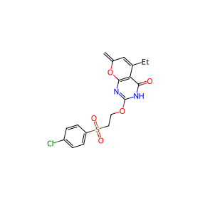 C=C1C=C(CC)c2c(nc(OCCS(=O)(=O)c3ccc(Cl)cc3)[nH]c2=O)O1